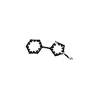 C[CH]Cn1cnc(-c2ccccc2)c1